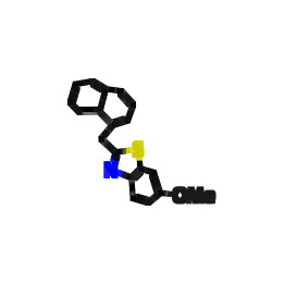 COc1ccc2nc(Cc3cccc4ccccc34)sc2c1